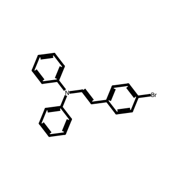 Brc1ccc(C=CN(c2ccccc2)c2ccccc2)cc1